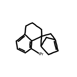 CC(C)c1cccc2c1C1(CCC2)CC2=CCC1C2